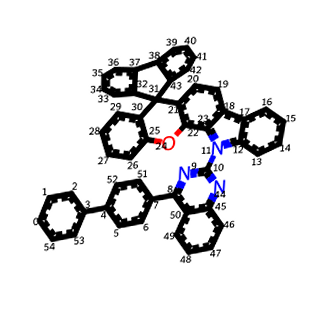 c1ccc(-c2ccc(-c3nc(-n4c5ccccc5c5ccc6c(c54)Oc4ccccc4C64c5ccccc5-c5ccccc54)nc4ccccc34)cc2)cc1